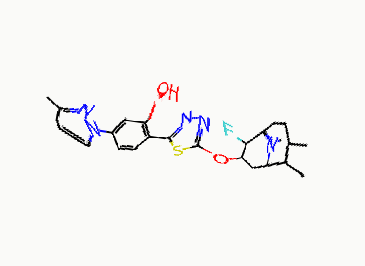 Cc1ccn(-c2ccc(-c3nnc(OC4CC5C(C)C(C)CC(C4F)N5C)s3)c(O)c2)n1